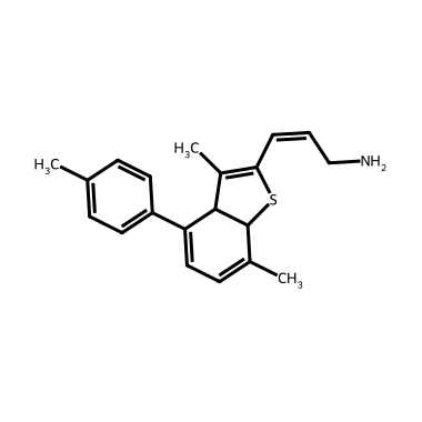 CC1=CC=C(c2ccc(C)cc2)C2C(C)=C(/C=C\CN)SC12